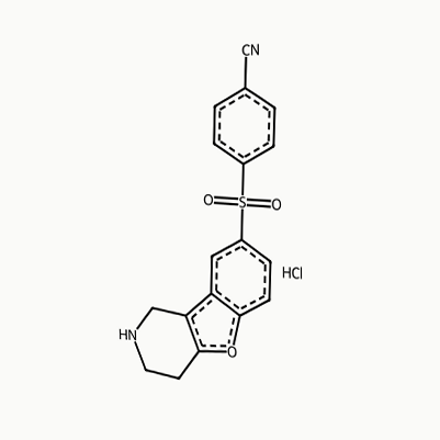 Cl.N#Cc1ccc(S(=O)(=O)c2ccc3oc4c(c3c2)CNCC4)cc1